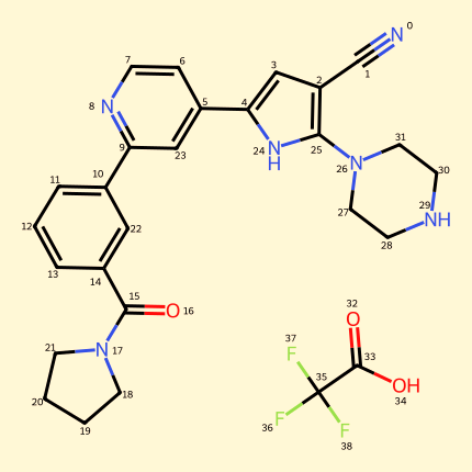 N#Cc1cc(-c2ccnc(-c3cccc(C(=O)N4CCCC4)c3)c2)[nH]c1N1CCNCC1.O=C(O)C(F)(F)F